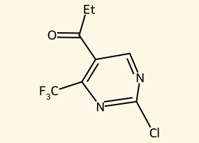 CCC(=O)c1cnc(Cl)nc1C(F)(F)F